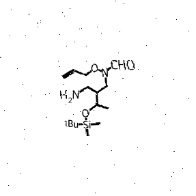 C=CCON(C=O)CC(CN)C(C)O[Si](C)(C)C(C)(C)C